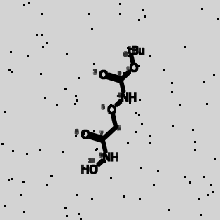 CC(C)(C)OC(=O)NOCC(=O)NO